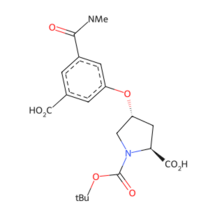 CNC(=O)c1cc(O[C@@H]2C[C@@H](C(=O)O)N(C(=O)OC(C)(C)C)C2)cc(C(=O)O)c1